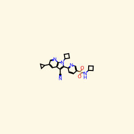 N#Cc1c(-c2ccc(S(=O)(=O)NC3CCC3)cn2)n(C2CCC2)c2ncc(C3CC3)cc12